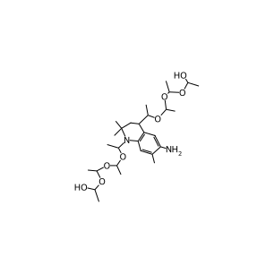 Cc1cc2c(cc1N)C(C(C)OC(C)OC(C)OC(C)O)CC(C)(C)N2C(C)OC(C)OC(C)OC(C)O